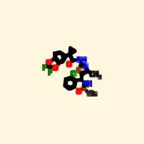 Cc1nc(NC(=O)C2(c3ccc4c(c3)OC(F)(F)O4)CC2)sc1[C@H](N[S@+]([O-])C(C)(C)C)c1ccccc1Cl